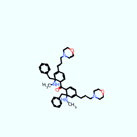 CNC1(Cc2ccccc2)C=C(CCCN2CCOCC2)C=CC1C(=O)C1C=CC(CCCN2CCOCC2)=CC1(Cc1ccccc1)NC